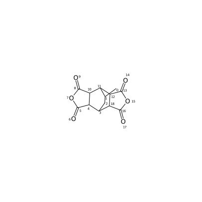 CC1CC2C3C(=O)OC(=O)C3C1C1C(=O)OC(=O)C21